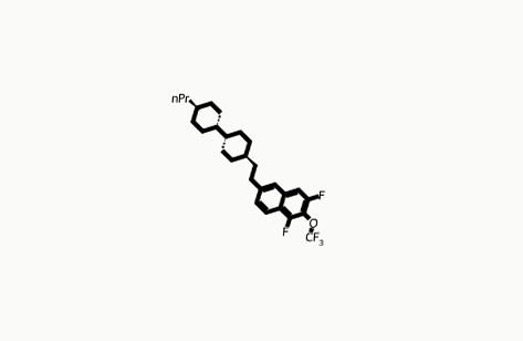 CCC[C@H]1CC[C@H]([C@H]2CC[C@H](CCc3ccc4c(F)c(OC(F)(F)F)c(F)cc4c3)CC2)CC1